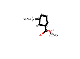 CCOC(=O)C1CCCC(C(=O)OC(C)(C)C)C1